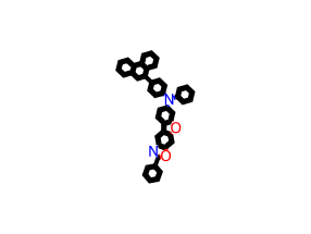 c1ccc(-c2nc3cc4c(cc3o2)oc2cc(N(c3ccccc3)c3ccc(-c5cc6ccccc6c6ccccc56)cc3)ccc24)cc1